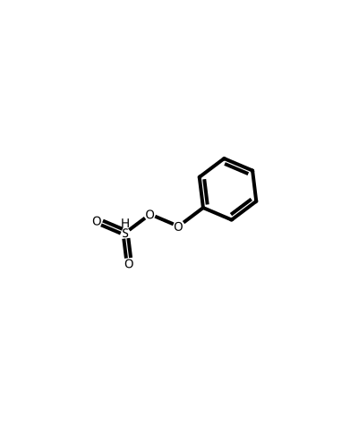 O=[SH](=O)OOc1ccccc1